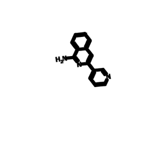 Nc1nc(-c2cccnc2)cc2c[c]ccc12